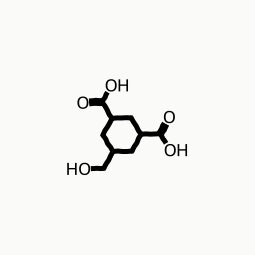 O=C(O)C1CC(CO)CC(C(=O)O)C1